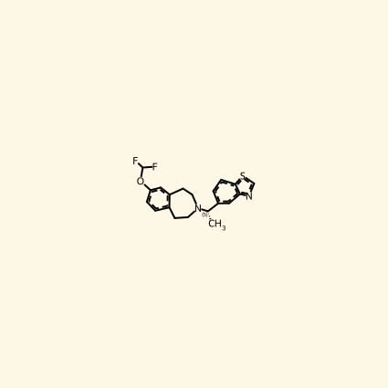 C[C@@H](c1ccc2scnc2c1)N1CCc2ccc(OC(F)F)cc2CC1